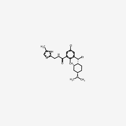 CCN(c1cc(Cl)cc(C(=O)NCc2ncc(C)[nH]2)c1C)[C@H]1CC[C@H](N(C)C)CC1